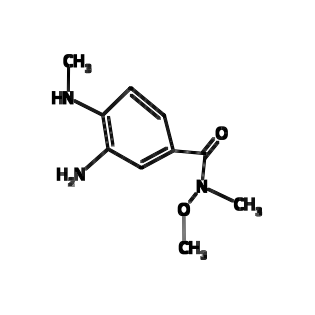 CNc1ccc(C(=O)N(C)OC)cc1N